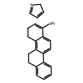 C1=CCN=C1.CCCC1=CCCc2c1ccc1c2CCc2ccccc2-1